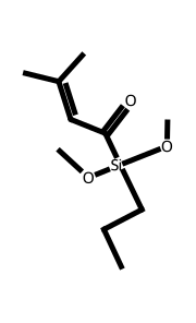 CCC[Si](OC)(OC)C(=O)C=C(C)C